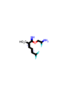 N=C(OCC(N)F)/C(=C\C=C\C(F)F)C(=O)O